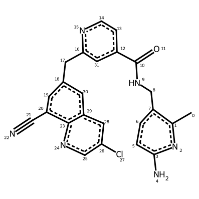 Cc1nc(N)ccc1CNC(=O)c1ccnc(Cc2cc(C#N)c3ncc(Cl)cc3c2)c1